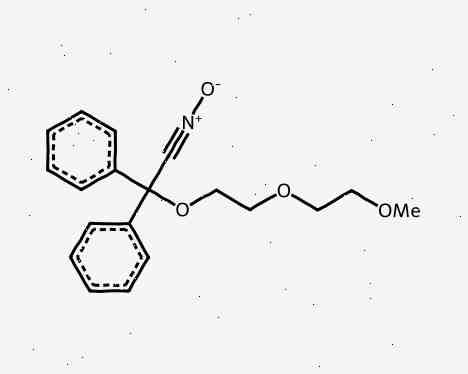 COCCOCCOC(C#[N+][O-])(c1ccccc1)c1ccccc1